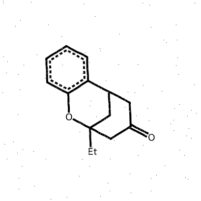 CCC12CC(=O)CC(C1)c1ccccc1O2